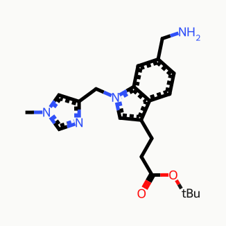 Cn1cnc(Cn2cc(CCC(=O)OC(C)(C)C)c3ccc(CN)cc32)c1